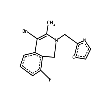 CC1=C(Br)c2cccc(F)c2CN1Cc1ncco1